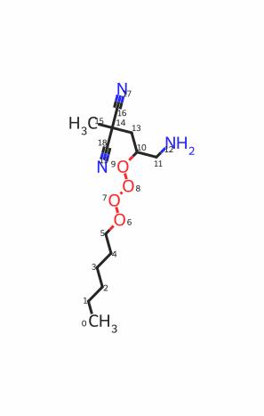 CCCCCCOOOOC(CN)CC(C)(C#N)C#N